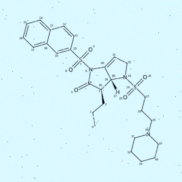 CCC[C@H]1C(=O)N(S(=O)(=O)c2ccc3ccccc3c2)C2=CCN(S(=O)(=O)CCCN3CCCCC3)[C@@H]21